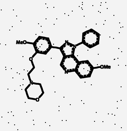 COc1ccc2ncc3c(-c4ccc(OC)c(OCCN5CCOCC5)c4)nn(-c4ccccc4)c3c2c1